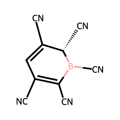 N#CB1C(C#N)=C(C#N)C=C(C#N)[C@@H]1C#N